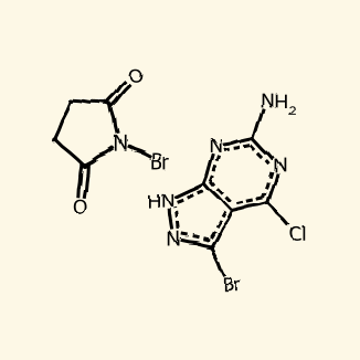 Nc1nc(Cl)c2c(Br)n[nH]c2n1.O=C1CCC(=O)N1Br